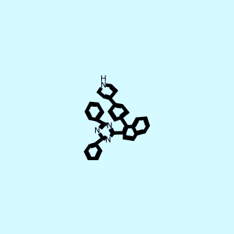 C1=CC(c2ccc(-c3c(-c4nc(-c5ccccc5)nc(-c5ccccc5)n4)ccc4ccccc34)cc2)=CCN1